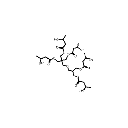 CC(S)CC(=O)OCC(COCC(COC(=O)CC(C)S)(COC(=O)CC(C)S)COC(=O)CC(C)S)COC(=O)CC(C)S